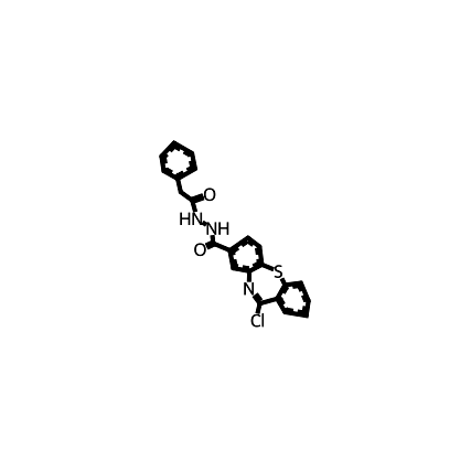 O=C(Cc1ccccc1)NNC(=O)c1ccc2c(c1)N=C(Cl)c1ccccc1S2